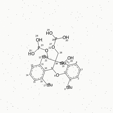 CC(C)(C)c1cccc(C(C)(C)C)c1OC(c1c(C(C)(C)C)cccc1C(C)(C)C)C(CO)(COP(O)O)COP(O)O